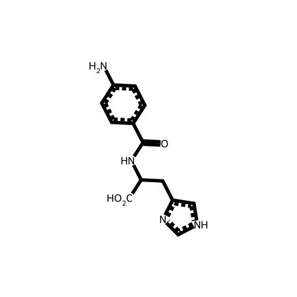 Nc1ccc(C(=O)NC(Cc2c[nH]cn2)C(=O)O)cc1